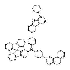 c1ccc(-c2cccc3c2oc2ccc(-c4ccc(N(c5ccc(-c6ccc7ccc8ccccc8c7c6)cc5)c5ccc6c(c5)C5(c7ccccc7-c7ccccc75)c5ccccc5-6)cc4)cc23)cc1